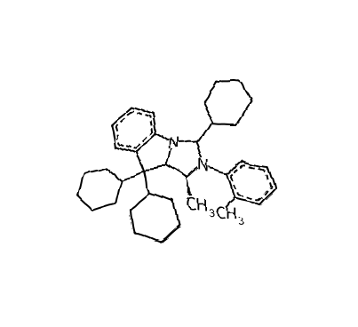 Cc1ccccc1N1C(C2CCCCC2)N2c3ccccc3C(C3CCCCC3)(C3CCCCC3)C2[C@@H]1C